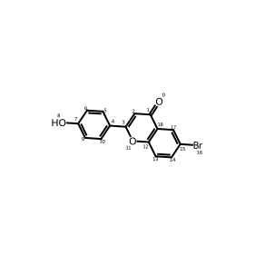 O=c1cc(-c2ccc(O)cc2)oc2ccc(Br)cc12